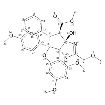 COCC1=N[C@@]2(O)[C@H](C(=O)OC)[C@@H](c3ccccc3)[C@]3(c4ccc(OC)cc4)Oc4cc(OC)cc(OC)c4[C@]23N1